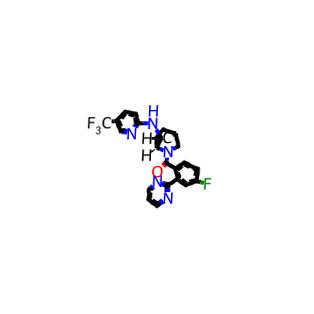 O=C(c1ccc(F)cc1-c1ncccn1)N1CC2CC[C@H]1[C@H](Nc1ccc(C(F)(F)F)cn1)C2